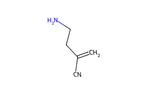 C=C(C#N)CCN